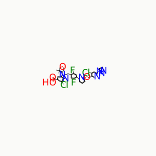 CC1(C)COC[C@H]1n1c(Cc2cc(F)c(-c3cccc(OCc4cnc(-n5ccnn5)cc4Cl)n3)cc2F)nc2c(Cl)cc(C(=O)O)cc21